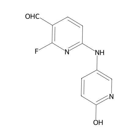 O=Cc1ccc(Nc2ccc(O)nc2)nc1F